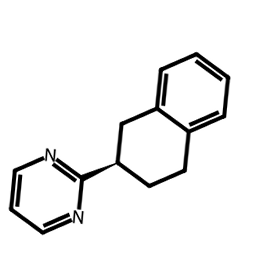 c1cnc([C@@H]2CCc3ccccc3C2)nc1